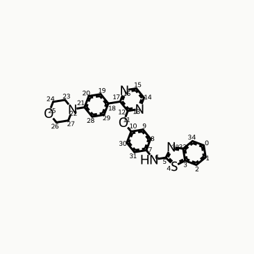 c1ccc2sc(Nc3ccc(Oc4nccnc4-c4ccc(N5CCOCC5)cc4)cc3)nc2c1